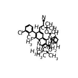 CSc1nc2c(F)c(-c3cccc(Cl)c3C)c(CCC#N)cc2c(N(C(=O)OC(C)(C)C)[C@H]2[C@H]3C[C@H]2N(C(=O)OC(C)(C)C)C3)c1N